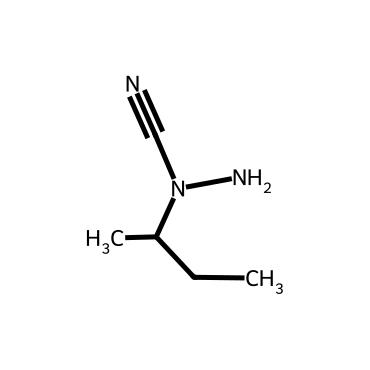 CCC(C)N(N)C#N